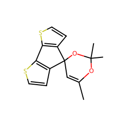 CC1=CC2(OC(C)(C)O1)c1ccsc1-c1sccc12